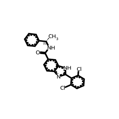 C[C@H](NC(=O)c1ccc2nc(-c3c(Cl)cccc3Cl)[nH]c2c1)c1ccccc1